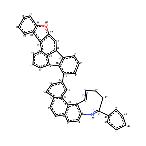 C1=C/c2c(ccc3ccc4ccc(-c5cccc6c5-c5cccc7c5c-6cc5oc6ccccc6c57)cc4c23)/N=C(/c2ccccc2)CC/1